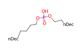 CCCCCCCCCCCCCCOP(=O)(O)OCCCCCCCCCCCC